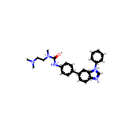 CN(C)CCN(C)C(=O)Nc1ccc(-c2ccc3ncn(-c4ccccc4)c3c2)cc1